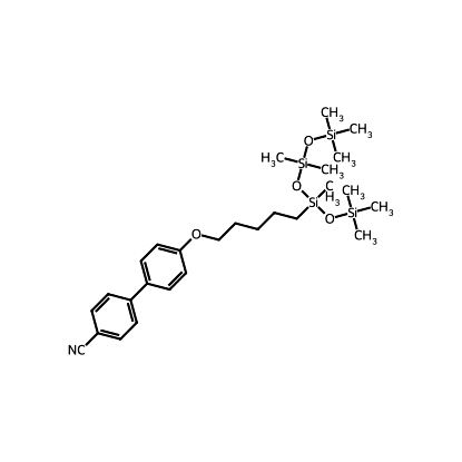 C[Si](C)(C)O[Si](C)(C)O[Si](C)(CCCCCOc1ccc(-c2ccc(C#N)cc2)cc1)O[Si](C)(C)C